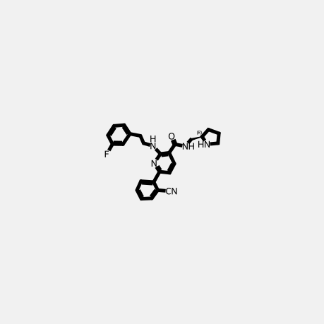 N#Cc1ccccc1-c1ccc(C(=O)NC[C@H]2CCCN2)c(NCCc2cccc(F)c2)n1